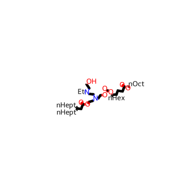 CCCCCCCCOC(=O)CCCC(CCCCCC)OC(=O)OCCN(CCOC(=O)CC(CCCCCCC)CCCCCCC)CCN(CC)CCO